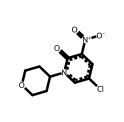 O=c1c([N+](=O)[O-])cc(Cl)cn1C1CCOCC1